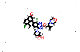 CCc1c(F)ccc2cc(O)cc(-c3ccc4c(N5CCCC(C)(O)C5)nc(OCC5(CN6CCOCC6)CC5)nc4c3F)c12